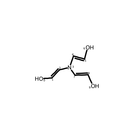 OC=CN(C=CO)C=CO